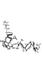 COc1cc2c(cc1OCCCN1CCOCC1)[nH]c1ncnc(N3CCN(C(=S)Nc4ccc(S(=O)(=O)N5CCCC5C)cc4)CC3)c12